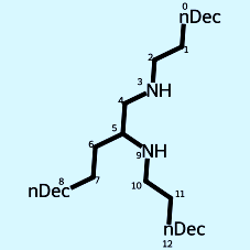 CCCCCCCCCCCCNCC(CCCCCCCCCCCC)NCCCCCCCCCCCC